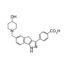 O=C(O)c1ccc(-c2n[nH]c3c2Cc2cc(CN4CCC(O)CC4)ccc2-3)cc1